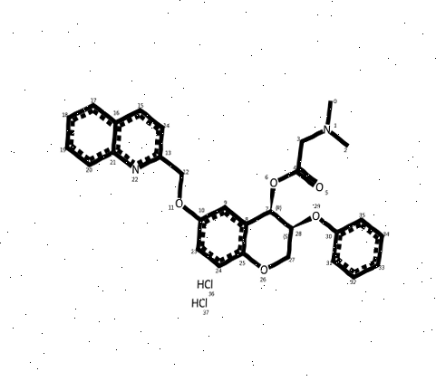 CN(C)CC(=O)O[C@@H]1c2cc(OCc3ccc4ccccc4n3)ccc2OC[C@@H]1Oc1ccccc1.Cl.Cl